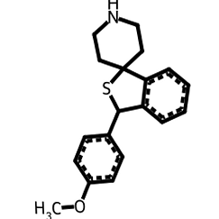 COc1ccc(C2SC3(CCNCC3)c3ccccc32)cc1